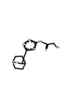 CC(C)CC(=O)Nc1noc(C2CN3CCC2CC3)n1